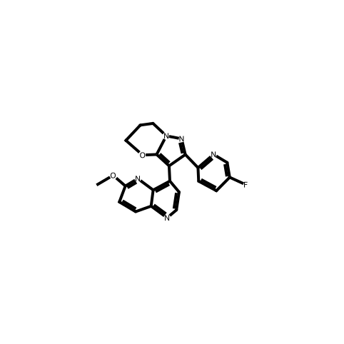 COc1ccc2nccc(-c3c(-c4ccc(F)cn4)nn4c3OCCC4)c2n1